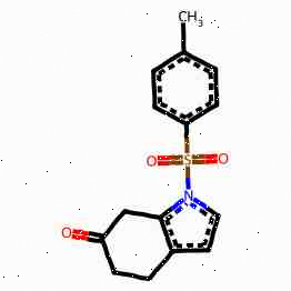 Cc1ccc(S(=O)(=O)n2ccc3c2CC(=O)CC3)cc1